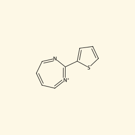 C1=CC=[N+]=C(c2cccs2)N=C1